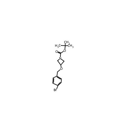 CC(C)(C)OC(=O)N1CC(OCc2ccc(Br)cc2)C1